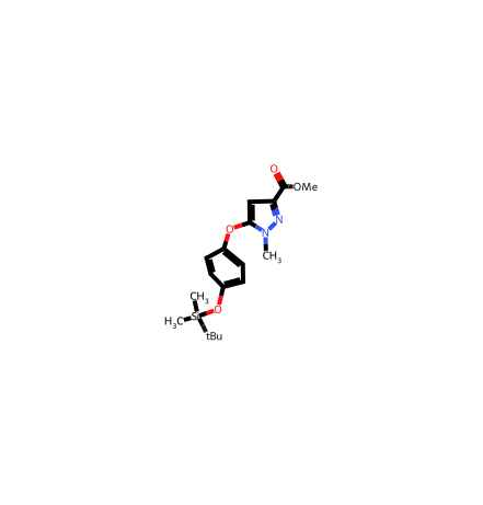 COC(=O)c1cc(Oc2ccc(O[Si](C)(C)C(C)(C)C)cc2)n(C)n1